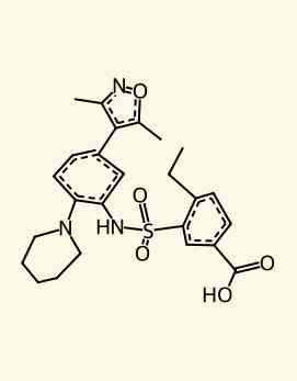 CCc1ccc(C(=O)O)cc1S(=O)(=O)Nc1cc(-c2c(C)noc2C)ccc1N1CCCCC1